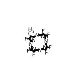 CC1=C(F)c2nc1nc1[nH]c(nc3nc(nc4[nH]c(n2)c(F)c4F)C(F)=C3F)c(F)c1F